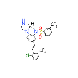 O=S(=O)(c1cccc(C(F)(F)F)c1)N1C[C@H]2CNCCN2c2ccc(/C=C/c3c(Cl)cccc3C(F)(F)F)cc21